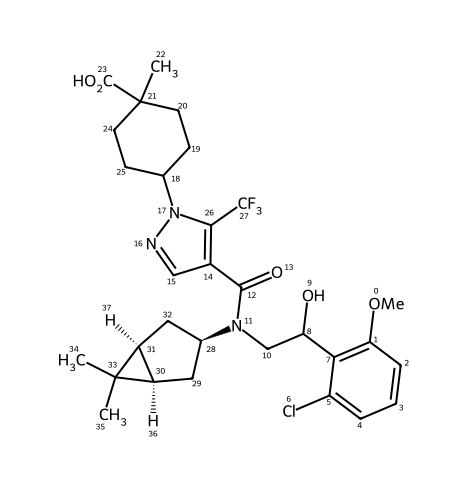 COc1cccc(Cl)c1C(O)CN(C(=O)c1cnn(C2CCC(C)(C(=O)O)CC2)c1C(F)(F)F)[C@H]1C[C@@H]2[C@H](C1)C2(C)C